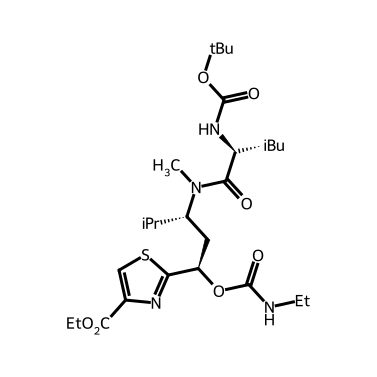 CCNC(=O)O[C@H](C[C@H](C(C)C)N(C)C(=O)[C@@H](NC(=O)OC(C)(C)C)[C@@H](C)CC)c1nc(C(=O)OCC)cs1